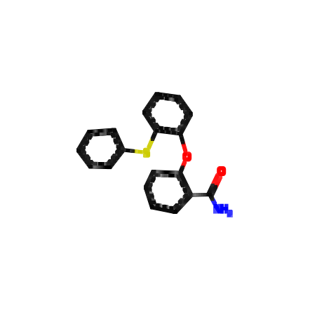 NC(=O)c1ccccc1Oc1ccccc1Sc1ccccc1